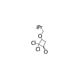 CC(C)COC1CC(=O)C1(Cl)Cl